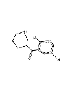 O=C(c1cc(Cl)ccc1Cl)C1CNCCO1